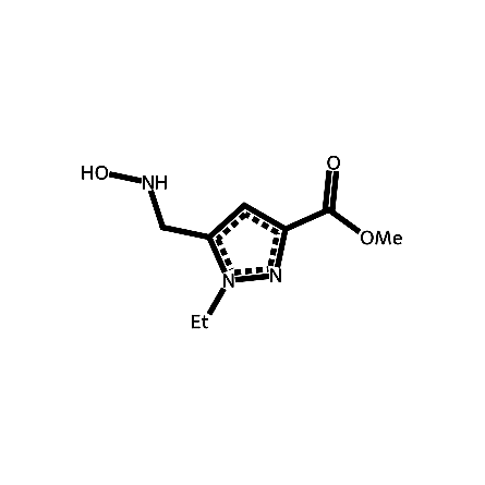 CCn1nc(C(=O)OC)cc1CNO